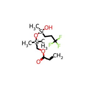 C=CC(=O)OC[Si](C)(C)O[Si](C)(O)CCC(F)(F)F